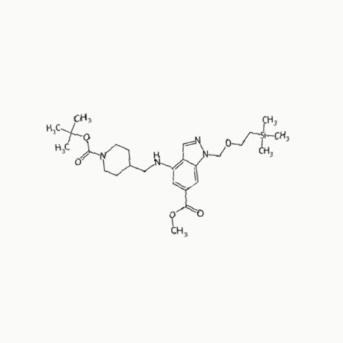 COC(=O)c1cc(NCC2CCN(C(=O)OC(C)(C)C)CC2)c2cnn(COCC[Si](C)(C)C)c2c1